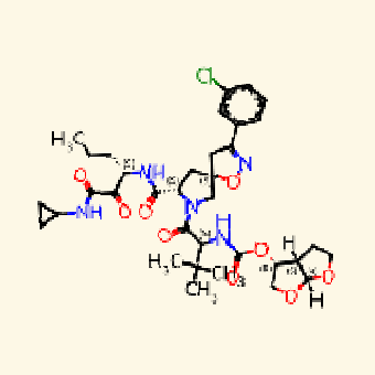 CCC[C@H](NC(=O)[C@@H]1C[C@]2(CC(c3cccc(Cl)c3)=NO2)CN1C(=O)[C@@H](NC(=O)O[C@H]1CO[C@H]2OCC[C@H]21)C(C)(C)C)C(=O)C(=O)NC1CC1